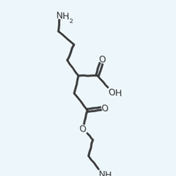 NCCCC(CC(=O)OCCN)C(=O)O